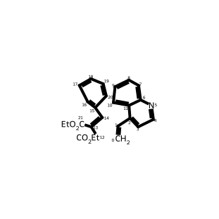 C=Cc1ccnc2ccccc12.CCOC(=O)C(=Cc1ccccc1)C(=O)OCC